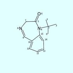 CC(C)(C)N1C(=O)CN=Cc2ccccc21